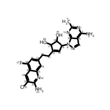 Cc1nc(N)c2cnn(C3C=C(CCc4cc(F)c5cc(Cl)c(N)nc5c4)C(O)C3O)c2n1